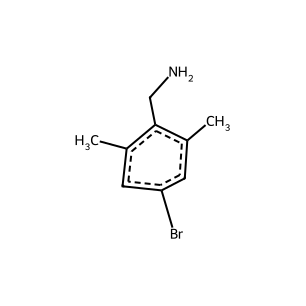 Cc1cc(Br)cc(C)c1CN